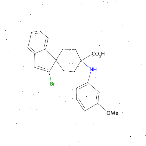 COc1cccc(NC2(C(=O)O)CCC3(CC2)C(Br)=Cc2ccccc23)c1